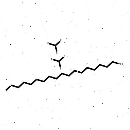 CCCCCCCCCCCCCCCCCCN.FC(F)F.FC(F)F